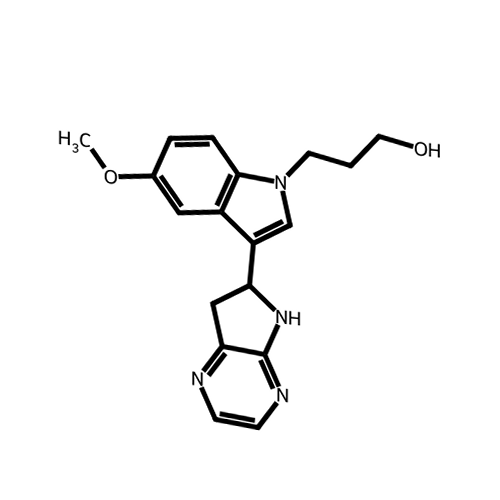 COc1ccc2c(c1)c(C1Cc3nccnc3N1)cn2CCCO